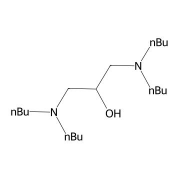 CCCCN(CCCC)CC(O)CN(CCCC)CCCC